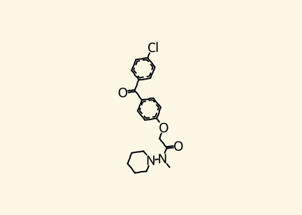 CN(C(=O)COc1ccc(C(=O)c2ccc(Cl)cc2)cc1)N1CCCCC1